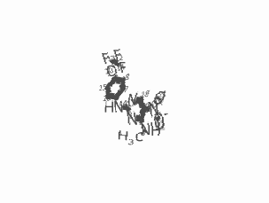 CNc1nc(Nc2ccc(OC(F)(F)F)cc2)ncc1[N+](=O)[O-]